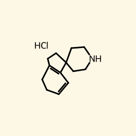 C1=CC2=C(CC1)CCC21CCNCC1.Cl